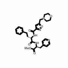 COC(=O)[C@H](Cc1ccncc1)NC(=O)[C@H](CCc1ccccc1)NC(=O)c1cc(CN2CCOCC2)on1